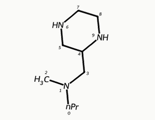 CCCN(C)CC1CNCCN1